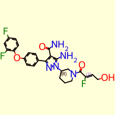 NC(=O)c1c(-c2ccc(Oc3ccc(F)cc3F)cc2)nn([C@@H]2CCCN(C(=O)/C(F)=C/CO)C2)c1N